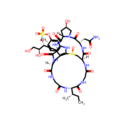 CC[C@H](C)[C@@H]1NC(=O)CNC(=O)[C@@H]2Cc3c([nH]c4cc(OS(=O)(=O)F)ccc34)[S+]([O-])C[C@H](NC(=O)CNC1=O)C(=O)N[C@@H](CC(N)=O)C(=O)N1C[C@H](O)C[C@H]1C(=O)N[C@@H]([C@@H](C)[C@@H](O)CO)C(=O)N2